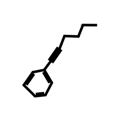 C[CH]CCC#Cc1ccccc1